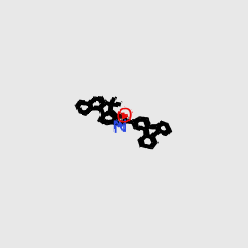 CC1(C)c2ccc3ccccc3c2-c2ccc3nc(-c4ccc5c6ccccc6c6ccccc6c5c4)oc3c21